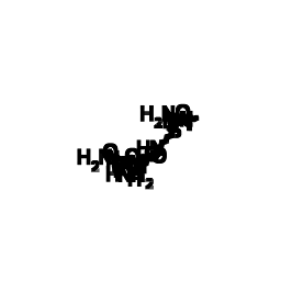 CCCN(CCC)C(=O)C1=Cc2sc(CCCCCNC(=O)OCc3ccc(NC(=O)[C@H](CCCNC(N)=O)NC(=O)C(N)C(C)C)cc3)cc2N=C(N)C1